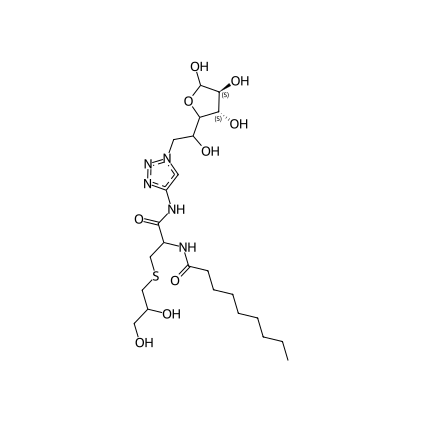 CCCCCCCCC(=O)NC(CSCC(O)CO)C(=O)Nc1cn(CC(O)C2OC(O)[C@@H](O)[C@@H]2O)nn1